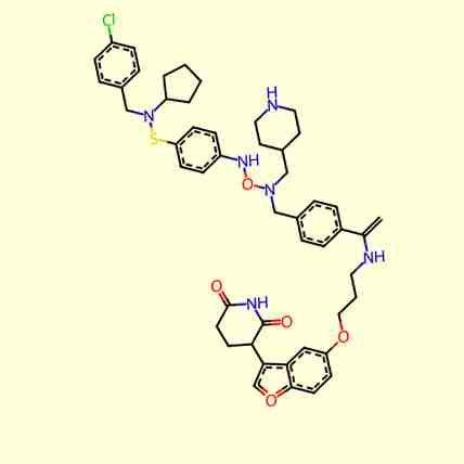 C=C(NCCCOc1ccc2occ(C3CCC(=O)NC3=O)c2c1)c1ccc(CN(CC2CCNCC2)ONc2ccc(SN(Cc3ccc(Cl)cc3)C3CCCC3)cc2)cc1